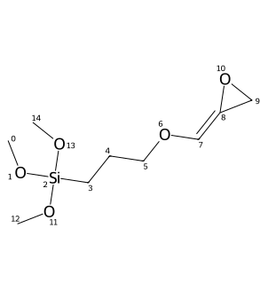 CO[Si](CCCOC=C1CO1)(OC)OC